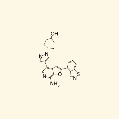 Nc1ncc(-c2cnn([C@H]3CC[C@H](O)CC3)c2)c2cc(-c3cccc4sncc34)oc12